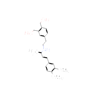 C=C(/C=C/c1ccc(OC)c(OC)c1)NCCc1ccc(CO)c(CO)c1